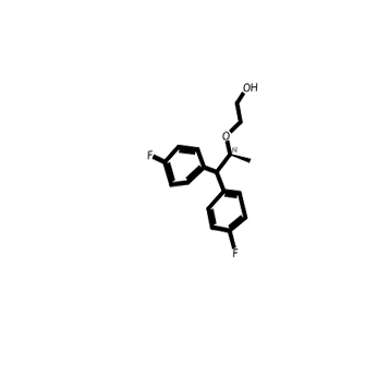 C[C@H](OCCO)C(c1ccc(F)cc1)c1ccc(F)cc1